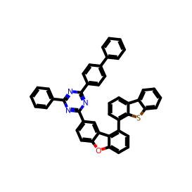 c1ccc(-c2ccc(-c3nc(-c4ccccc4)nc(-c4ccc5oc6cccc(-c7cccc8c7sc7ccccc78)c6c5c4)n3)cc2)cc1